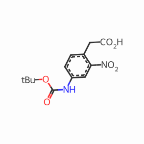 CC(C)(C)OC(=O)Nc1ccc(CC(=O)O)c([N+](=O)[O-])c1